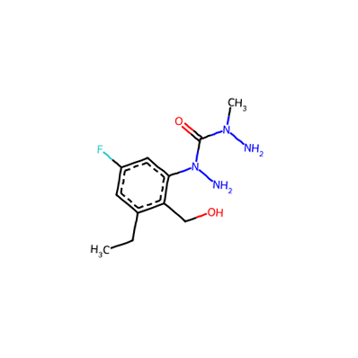 CCc1cc(F)cc(N(N)C(=O)N(C)N)c1CO